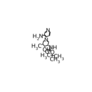 C[C@H]1CN(c2ccncc2N)C[C@@H](NC(=O)OC(C)(C)C)[C@@H]1O